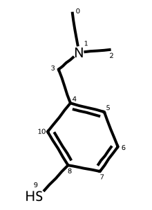 CN(C)Cc1cccc(S)c1